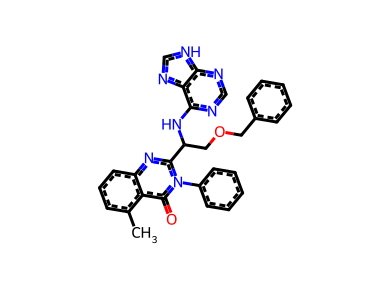 Cc1cccc2nc(C(COCc3ccccc3)Nc3ncnc4[nH]cnc34)n(-c3ccccc3)c(=O)c12